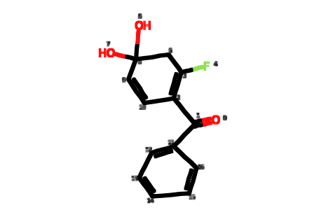 O=C(C1=C(F)CC(O)(O)C=C1)c1ccccc1